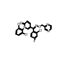 O=c1ccc(C(=NOCc2cnccn2)c2ccc(F)cc2Cl)cn1-c1c(Cl)cccc1Cl